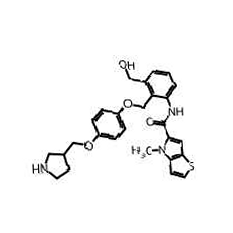 Cn1c(C(=O)Nc2cccc(CO)c2COc2ccc(OCC3CCNC3)cc2)cc2sccc21